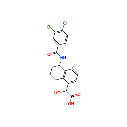 O=C(NC1CCCc2c1cccc2C(O)C(=O)O)c1ccc(Cl)c(Cl)c1